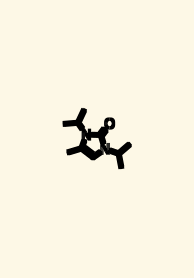 Cc1cn(C(C)C)c(=O)n1C(C)C